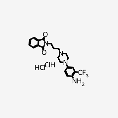 Cl.Cl.Nc1ccc(N2CCN(CCCN3C(=O)c4ccccc4C3=O)CC2)cc1C(F)(F)F